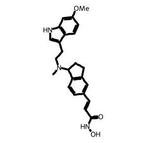 COc1ccc2c(CCN(C)C3CCc4cc(/C=C/C(=O)NO)ccc43)c[nH]c2c1